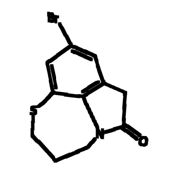 O=C1Cc2cc(Br)cc3c2N1CCCS3